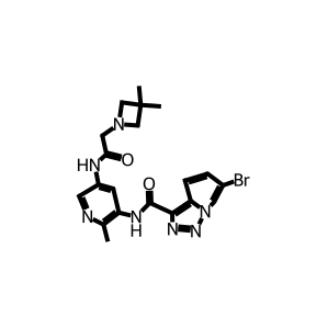 Cc1ncc(NC(=O)CN2CC(C)(C)C2)cc1NC(=O)c1nnn2cc(Br)ccc12